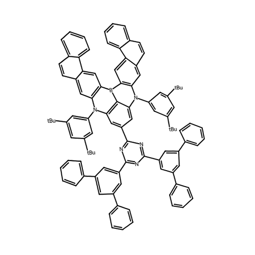 CC(C)(C)c1cc(N2c3cc4ccc5ccccc5c4cc3B3c4cc5c(ccc6ccccc65)cc4N(c4cc(C(C)(C)C)cc(C(C)(C)C)c4)c4cc(-c5nc(-c6cc(-c7ccccc7)cc(-c7ccccc7)c6)nc(-c6cc(-c7ccccc7)cc(-c7ccccc7)c6)n5)cc2c43)cc(C(C)(C)C)c1